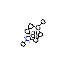 C[Si]1(C)c2ccccc2-c2nc(-c3ccccc3)nc(-c3cccc(-c4cccc(-c5cc(-c6ccccc6)cc(-c6ccccc6)c5)c4)c3)c21